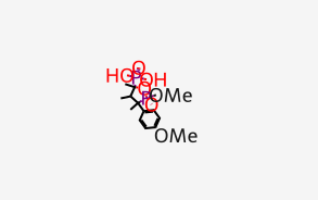 COc1ccc(C2(C)C(C)C(C)(P(=O)(O)O)OP2(=O)OC)cc1